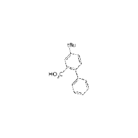 CC(C)(C)c1ccc(-c2ccccc2)c(C(=O)O)c1